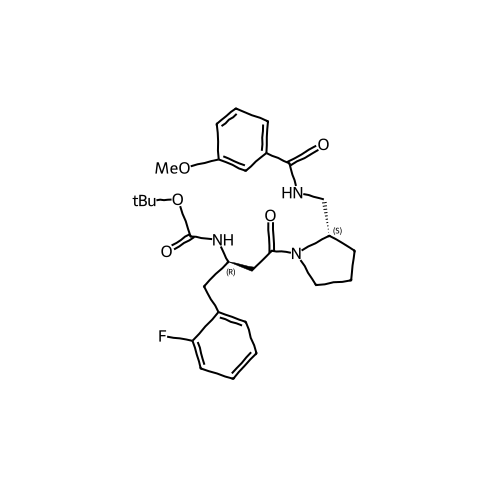 COc1cccc(C(=O)NC[C@@H]2CCCN2C(=O)C[C@@H](Cc2ccccc2F)NC(=O)OC(C)(C)C)c1